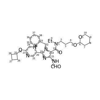 CCN(CCCOC1CCCCO1)C(=O)c1c(NC=O)nc(-c2cnc(OC3CCC3)cn2)n1Cc1ccccc1